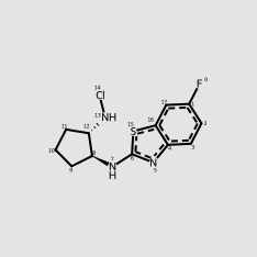 Fc1ccc2nc(N[C@H]3CCC[C@@H]3NCl)sc2c1